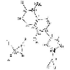 CC(=O)N1c2ccc(-c3cnn(C4CC4)c3)c(OCC3CC3(F)F)c2CCC1C